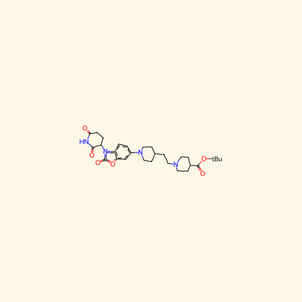 CC(C)(C)OC(=O)C1CCN(CCC2CCN(c3ccc4c(c3)oc(=O)n4C3CCC(=O)NC3=O)CC2)CC1